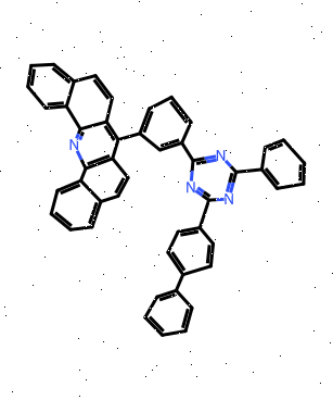 c1ccc(-c2ccc(-c3nc(-c4ccccc4)nc(-c4cccc(-c5c6ccc7ccccc7c6nc6c5ccc5ccccc56)c4)n3)cc2)cc1